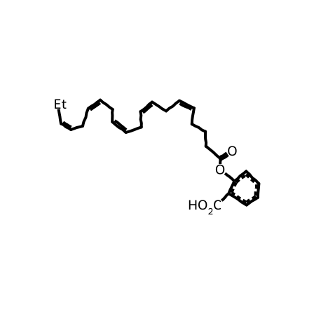 CC/C=C\C/C=C\C/C=C\C/C=C\C/C=C\CCCC(=O)Oc1ccccc1C(=O)O